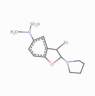 CCC1c2cc(N(C)S(=O)(=O)O)ccc2OC1N1CCCC1